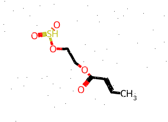 CC=CC(=O)OCCO[SH](=O)=O